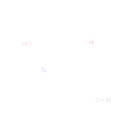 Cc1c(O)nc2ccc(S(=O)(=O)O)cc2c1O